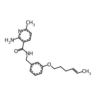 C/C=C/CCCOc1cccc(CNC(=O)c2ccc(C)nc2N)c1